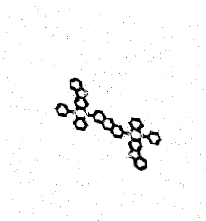 c1ccc(N2c3ccccc3N(c3ccc4cc5cc(N6c7ccccc7N(c7ccccc7)c7cc8c(cc76)sc6ccccc68)ccc5cc4c3)c3cc4sc5ccccc5c4cc32)cc1